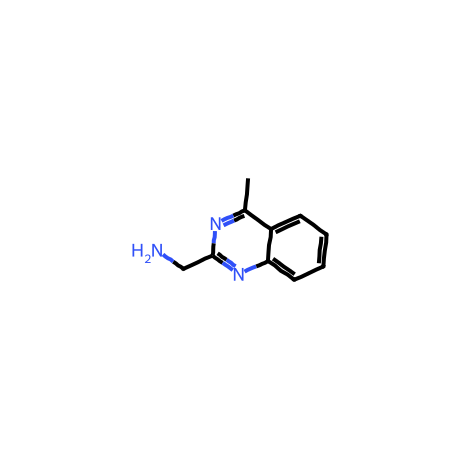 Cc1nc(CN)nc2ccccc12